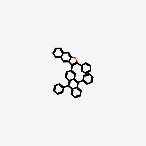 c1ccc(-c2oc3cc4ccccc4cc3c2-c2ccc3c(-c4ccccc4)c4ccccc4c(-c4ccccc4)c3c2)cc1